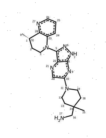 C[C@H]1CCN(c2n[nH]c3nc(N4CCC(C)(CN)CC4)cnc23)c2cccnc21